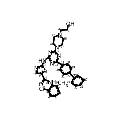 Cc1cccc(Cl)c1NC(=O)c1cnc(Nc2nc(-c3ccc(-c4ccccc4)cc3)nc(N3CCN(CCO)CC3)n2)s1